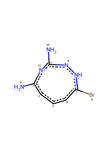 Nc1cccc(Br)[nH]nc(N)n1